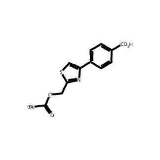 CC(C)(C)C(=O)OCc1nc(-c2ccc(C(=O)O)cc2)cs1